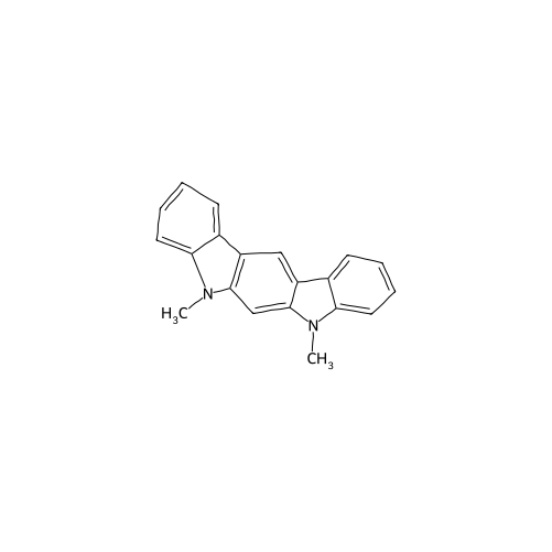 Cn1c2ccccc2c2cc3c4ccccc4n(C)c3cc21